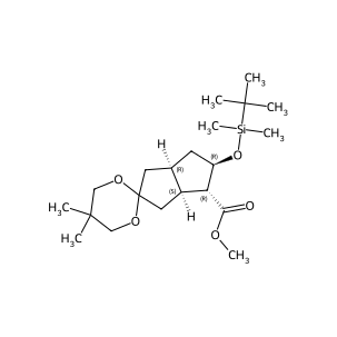 COC(=O)[C@@H]1[C@H]2CC3(C[C@H]2C[C@H]1O[Si](C)(C)C(C)(C)C)OCC(C)(C)CO3